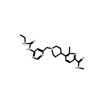 CCNC(=O)Nc1cc(CN2CCC(c3ccc(C(=O)NC)nc3C)CC2)ncn1